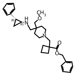 COCC1(CN[C@@H]2C[C@@H]2c2ccccc2)CCN(CC2(C(=O)OCc3ccccc3)CCC2)CC1